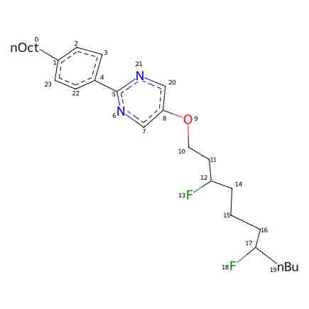 CCCCCCCCc1ccc(-c2ncc(OCCC(F)CCCC(F)CCCC)cn2)cc1